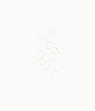 c1ccc(N(c2ccccc2)c2cc(-c3ccccc3-c3ccccc3-c3cc(N(c4ccccc4)c4ccccc4)cc4c3sc3ccccc34)c3sc4ccccc4c3c2)cc1